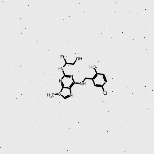 CCC(CO)Nc1nc(NCc2cc(Cl)ccc2O)c2ncn(C)c2n1